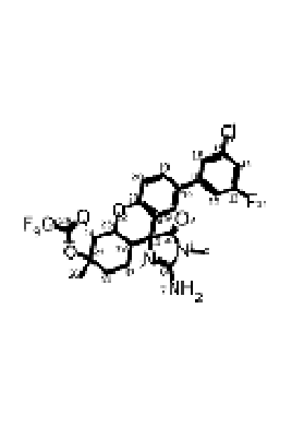 CN1C(=O)C2(N=C1N)c1cc(-c3cc(F)cc(Cl)c3)ccc1OC1CC(C)(OC(=O)C(F)(F)F)CCC12